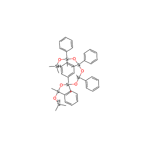 C[SiH](C)O[Si](C)(O[Si](C)(O[Si](C)(O[Si](C)(O[Si](C)(O[SiH](C)C)c1ccccc1)c1ccccc1)c1ccccc1)c1ccccc1)c1ccccc1